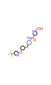 O=C(NC1CCC(=Cc2cccc(Oc3ccc(C(F)(F)F)cn3)c2)CC1)c1ccc(CO)nc1